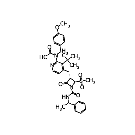 COc1ccc(CN(C(=O)O)c2nccc(C[C@H]3C(=O)N(C(=O)N[C@H](C)c4ccccc4)[C@@H]3S(C)(=O)=O)c2C(C)(C)C)cc1